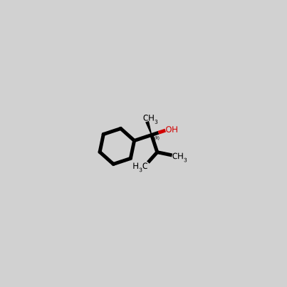 CC(C)[C@@](C)(O)C1CCCCC1